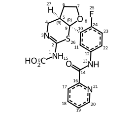 O=C(O)NC1=NC[C@H]2CCO[C@@]2(c2cc(NC(=O)c3ccccn3)ccc2F)S1